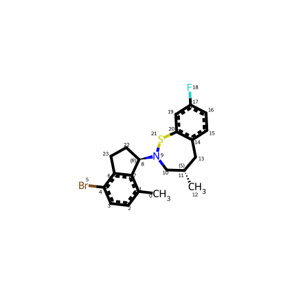 Cc1ccc(Br)c2c1[C@H](N1C[C@@H](C)Cc3ccc(F)cc3S1)CC2